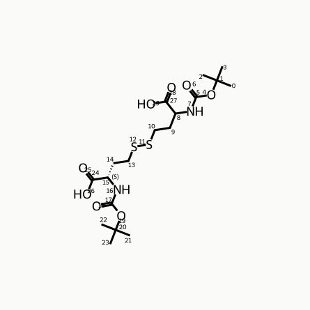 CC(C)(C)OC(=O)NC(CCSSCC[C@H](NC(=O)OC(C)(C)C)C(=O)O)C(=O)O